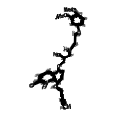 C#CCOc1ccc(OCC(O)CNCCOc2ccc(OC)c(OC)c2)c2ccc(=O)[nH]c12